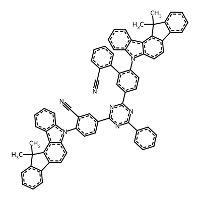 CC1(C)c2ccccc2-c2ccc3c(c21)c1ccccc1n3-c1ccc(-c2nc(-c3ccccc3)nc(-c3ccc(-n4c5ccccc5c5c6c(ccc54)-c4ccccc4C6(C)C)c(-c4ccccc4C#N)c3)n2)cc1C#N